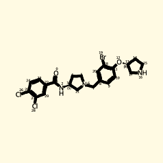 O=C(N[C@H]1CCN(Cc2ccc(O[C@@H]3CCNC3)c(Br)c2)C1)c1ccc(Cl)c(Cl)c1